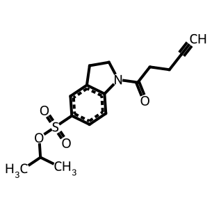 C#CCCC(=O)N1CCc2cc(S(=O)(=O)OC(C)C)ccc21